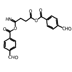 N=C(CCC(=O)OC(=O)c1ccc(C=O)cc1)OC(=O)c1ccc(C=O)cc1